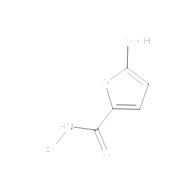 CCNC(=O)c1ccc(S(=O)(=O)O)o1